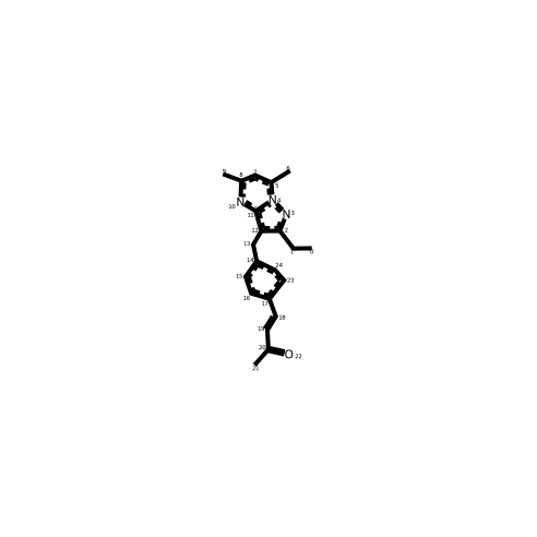 CCc1nn2c(C)cc(C)nc2c1Cc1ccc(/C=C/C(C)=O)cc1